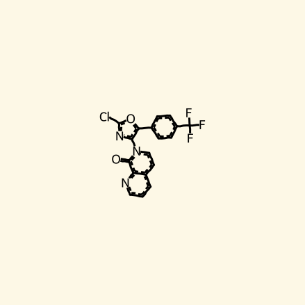 O=c1c2ncccc2ccn1-c1nc(Cl)oc1-c1ccc(C(F)(F)F)cc1